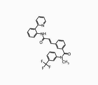 CN(C(=O)c1cccc(C=CC(=O)Nc2ccccc2-c2ccccn2)c1)c1cccc(C(F)(F)F)c1